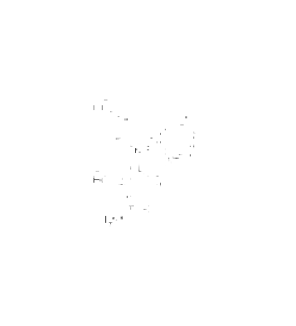 Nc1ccc2c3ccccc3n(CCO)c2c1O